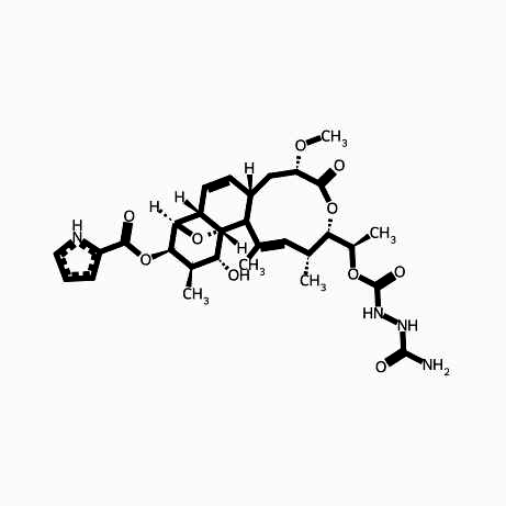 CO[C@H]1C[C@H]2C=C[C@H]3[C@H]4O[C@]2(/C(C)=C/[C@@H](C)[C@@H]([C@@H](C)OC(=O)NNC(N)=O)OC1=O)[C@@H]3[C@H](O)[C@@H](C)[C@H]4OC(=O)c1ccc[nH]1